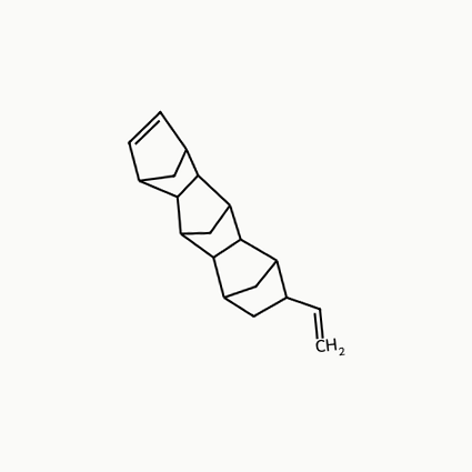 C=CC1CC2CC1C1C3CC(C4C5C=CC(C5)C34)C21